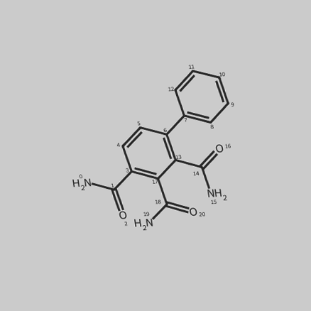 NC(=O)c1ccc(-c2ccccc2)c(C(N)=O)c1C(N)=O